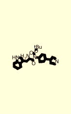 CC(C)(C)OC(=O)N(C(=O)[C@H](N)Cc1c[nH]c2ccccc12)c1ccc(-c2ccncc2)cc1